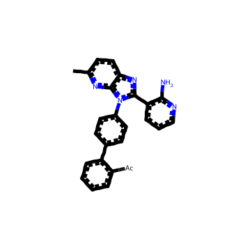 CC(=O)c1ccccc1-c1ccc(-n2c(-c3cccnc3N)nc3ccc(C)nc32)cc1